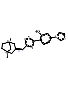 C[C@]12CC[C@](C)(C/C(=C\c3nnc(-c4ccc(-n5ccnc5)cc4O)s3)C1)C2